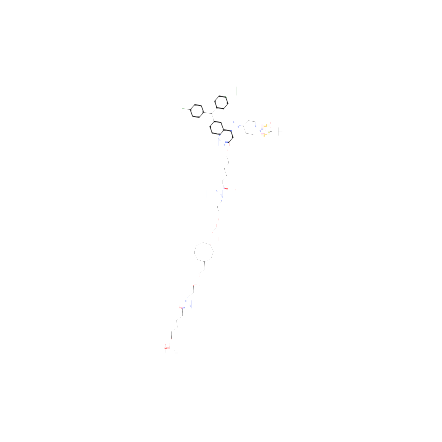 CC(C)(C)OCCCCCC(=O)NCCCOCCC1CCCCC(OCCOCCCNC(=O)CCCCCOc2cc(NC3CCN(S(=O)(=O)C(F)(F)F)CC3)c3cc(C(c4ccc(Cl)cc4)c4ccc(Cl)cc4)ccc3n2)CC1